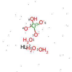 O.O.O.[LiH].[O-][Cl+3]([O-])([O-])O